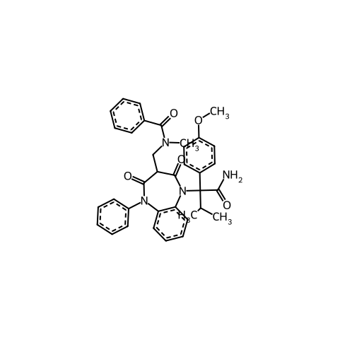 COc1ccc(C(C(N)=O)(C(C)C)N2C(=O)C(CN(C)C(=O)c3ccccc3)C(=O)N(c3ccccc3)c3ccccc32)cc1